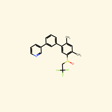 Cc1cc(C)c([S+]([O-])CC(F)(F)F)cc1-c1cccc(-c2cccnc2)c1